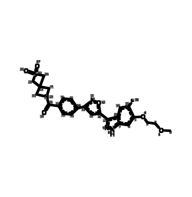 COCCOc1cc2[nH]nc(-c3cc(-c4ccc(C(=O)N5CC6(C5)CS(=O)(=O)C6)cc4)no3)c2cc1F